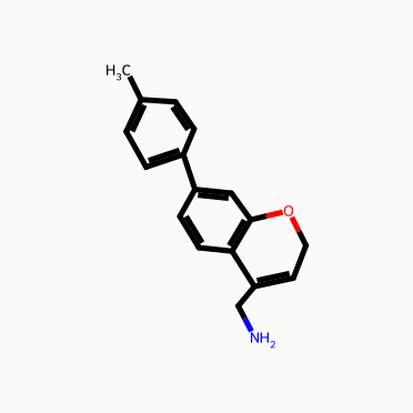 Cc1ccc(-c2ccc3c(c2)OCC=C3CN)cc1